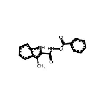 Cc1c(C(=O)NOC(=O)c2ccccc2)[nH]c2ccccc12